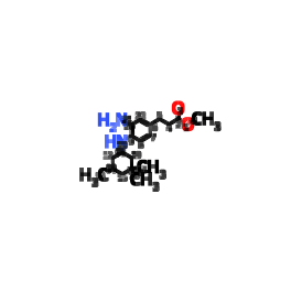 COC(=O)CCc1ccc(N[C@@H]2C[C@H](C)CC(C)(C)C2)c(N)c1